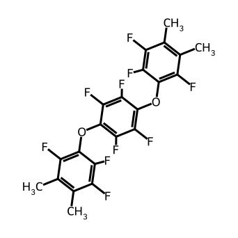 Cc1c(C)c(F)c(Oc2c(F)c(F)c(Oc3c(F)c(C)c(C)c(F)c3F)c(F)c2F)c(F)c1F